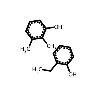 CCc1ccccc1O.Cc1cccc(O)c1C